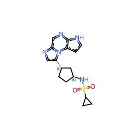 O=S(=O)(N[C@H]1CC[C@H](c2cnc3cnc4[nH]ccc4n23)C1)C1CC1